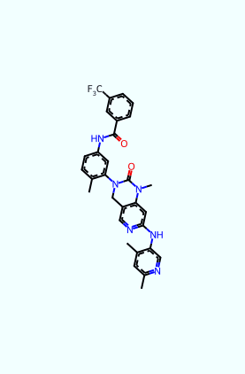 Cc1cc(C)c(Nc2cc3c(cn2)CN(c2cc(NC(=O)c4cccc(C(F)(F)F)c4)ccc2C)C(=O)N3C)cn1